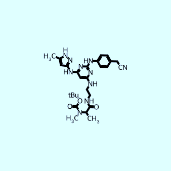 Cc1cc(Nc2cc(NCCNC(=O)C(C)N(C)C(=O)OC(C)(C)C)nc(Nc3ccc(CC#N)cc3)n2)n[nH]1